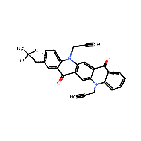 C#CCn1c2ccccc2c(=O)c2cc3c(cc21)c(=O)c1cc(CC(C)(C)CC)ccc1n3CC#C